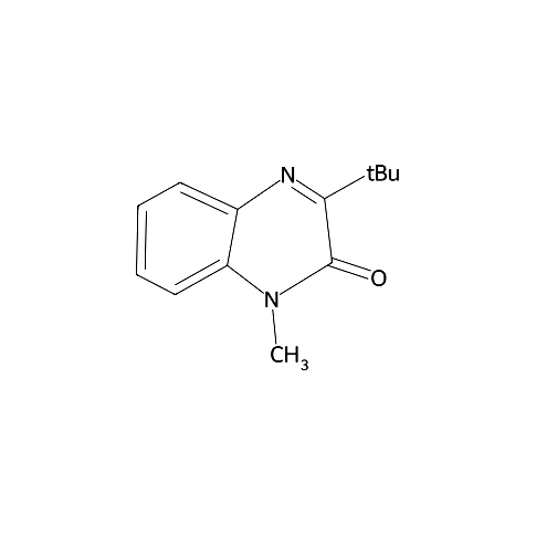 Cn1c(=O)c(C(C)(C)C)nc2ccccc21